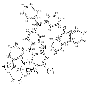 Cc1cc2c3c(c1)N1c4c(cccc4C4(C)CCCCC14C)B3c1ccc(N(c3ccccc3)c3ccccc3)cc1N2c1ccc2c(c1)sc1ccccc12